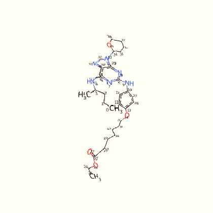 CCCC(C)Nc1nc(Nc2ccc(OCCCCCCC(=O)OCC)cc2)nc2c1ncn2C1CCCCO1